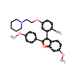 COc1ccc(-c2oc3cc(OC)ccc3c2-c2cc(OCCN3CCCCC3)ccc2C)cc1